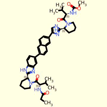 CCC(=O)N[C@H](C(=O)N1CCCC[C@H]1c1nc2cc(-c3ccc4cc(-c5c[nH]c([C@@H]6CCCCN6C(=O)[C@@H](NC(=O)OC)C(C)C)n5)ccc4c3)ccc2[nH]1)C(C)C